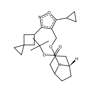 CC(C)(C)OC(=O)N1C2CC[C@H]1CC(OCc1c(C3CC4(CC4)C3)noc1C1CC1)C2